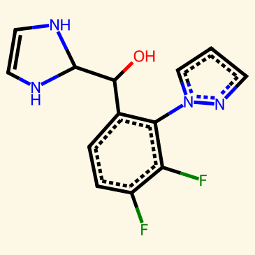 OC(c1ccc(F)c(F)c1-n1cccn1)C1NC=CN1